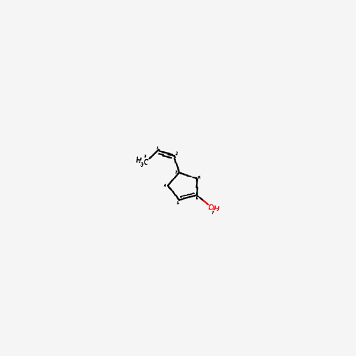 C/C=C\C1CC=C(O)C1